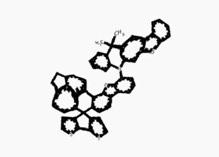 CC1(C)c2ccccc2N(c2cccc3c2oc2c4c(ccc23)C2(c3ccsc3-c3sccc32)c2ccc3c5c(ccc-4c25)CC3)c2cc3sc4ccccc4c3cc21